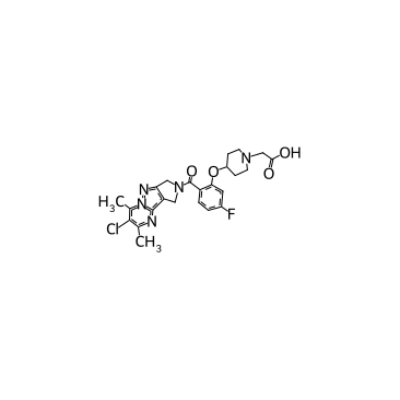 Cc1nc2c3c(nn2c(C)c1Cl)CN(C(=O)c1ccc(F)cc1OC1CCN(CC(=O)O)CC1)C3